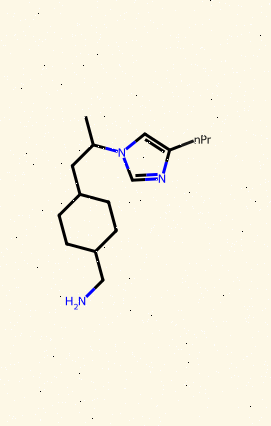 CCCc1cn(C(C)CC2CCC(CN)CC2)cn1